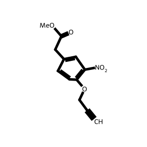 C#CCOc1ccc(CC(=O)OC)cc1[N+](=O)[O-]